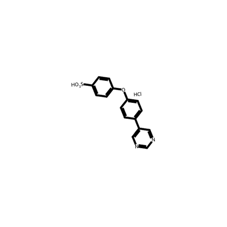 Cl.O=S(=O)(O)c1ccc(Oc2ccc(-c3cncnc3)cc2)cc1